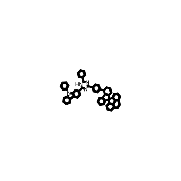 C1=CC2=C(c3ccccc3C23c2cccc4ccc5cccc3c5c24)C(c2ccc(C3=NC(c4ccccc4)NC(c4ccc5c6ccccc6n(-c6ccccc6)c5c4)=N3)cc2)C1